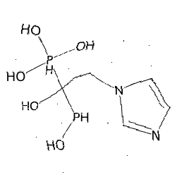 OPC(O)(Cn1ccnc1)[PH](O)(O)O